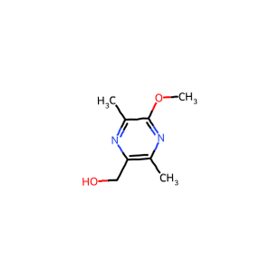 COc1nc(C)c(CO)nc1C